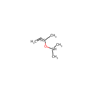 C=C[SiH](C)O[SiH](C)C